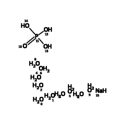 O.O.O.O.O.O.O.O.O.O.O=P(O)(O)O.[NaH]